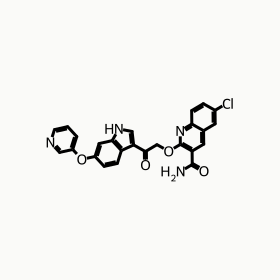 NC(=O)c1cc2cc(Cl)ccc2nc1OCC(=O)c1c[nH]c2cc(Oc3cccnc3)ccc12